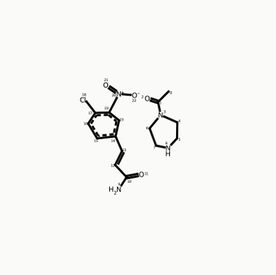 CC(=O)N1CCNCC1.NC(=O)C=Cc1ccc(Cl)c([N+](=O)[O-])c1